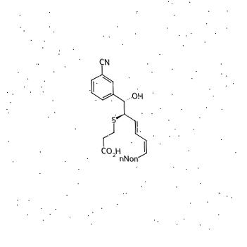 CCCCCCCCC/C=C\C=C\[C@@H](SCCC(=O)O)[C@@H](O)c1cccc(C#N)c1